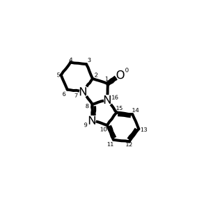 O=C1C2CCCCN2c2nc3ccccc3n21